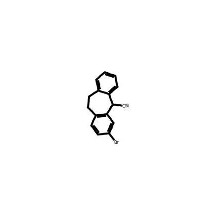 N#CC1c2ccccc2CCc2ccc(Br)cc21